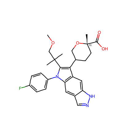 COCC(C)(C)c1c(C2CC[C@@](C)(C(=O)O)OC2)c2cc3[nH]ncc3cc2n1-c1ccc(F)cc1